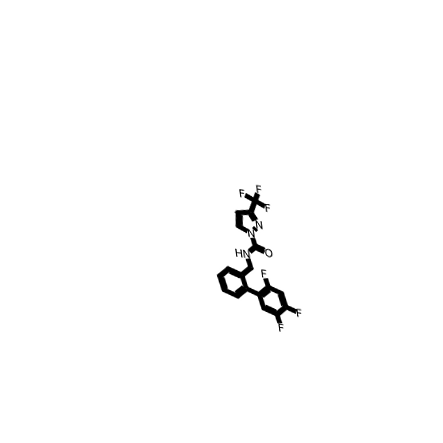 O=C(NCc1ccccc1-c1cc(F)c(F)cc1F)n1c[c]c(C(F)(F)F)n1